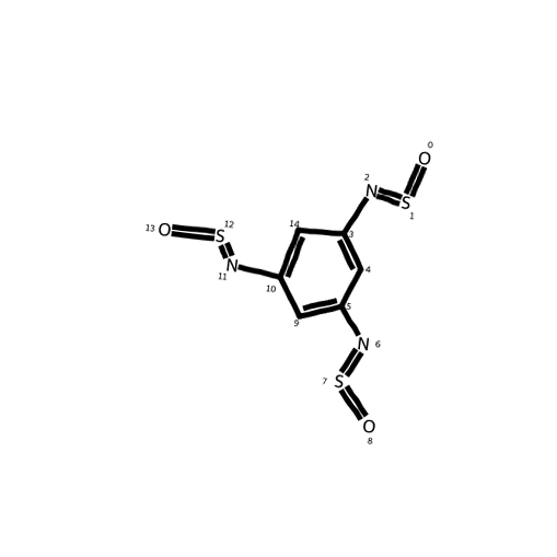 O=S=Nc1cc(N=S=O)cc(N=S=O)c1